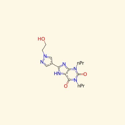 CCCn1c(=O)c2[nH]c(-c3cnn(CCO)c3)nc2n(CCC)c1=O